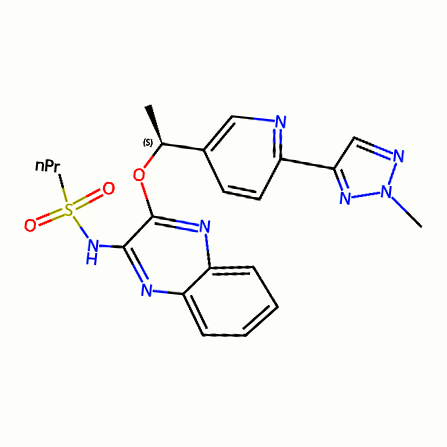 CCCS(=O)(=O)Nc1nc2ccccc2nc1O[C@@H](C)c1ccc(-c2cnn(C)n2)nc1